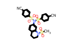 CS(=O)(=O)N1CCCc2ccc(N(S(=O)(=O)c3ccc(C#N)cc3)S(=O)(=O)c3ccc(C#N)cc3)cc21